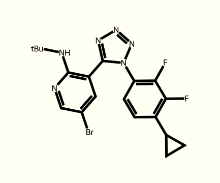 CC(C)(C)Nc1ncc(Br)cc1-c1nnnn1-c1ccc(C2CC2)c(F)c1F